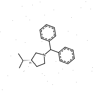 CC(C)[C@H]1CCN(C(c2ccccc2)c2ccccc2)C1